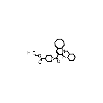 CCOC(=O)C1CCN(C(=O)c2cc3c(n(CC4CCCCC4)c2=O)CCCCCC3)CC1